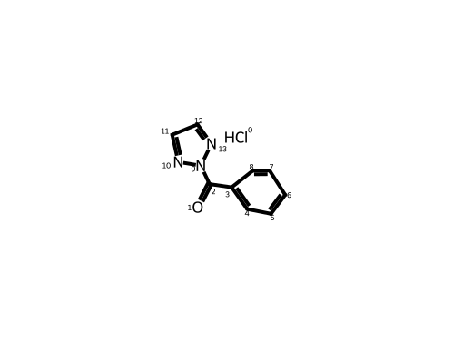 Cl.O=C(c1ccccc1)n1nccn1